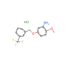 COc1ccc(OCc2cccc(C(F)(F)F)c2)cc1N.Cl